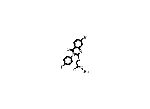 CC(C)(C)OC(=O)CSc1nc2cc(Br)ccc2c(=O)n1-c1ccc(F)cc1